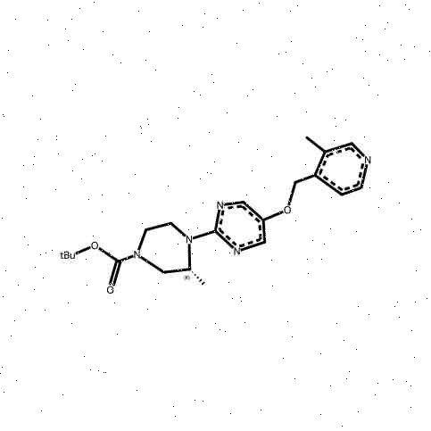 Cc1cnccc1COc1cnc(N2CCN(C(=O)OC(C)(C)C)C[C@H]2C)nc1